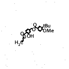 C=CCOC(=O)c1ccc(COC(=O)c2ccc(OC)c(C(C)(C)C)c2)cc1O